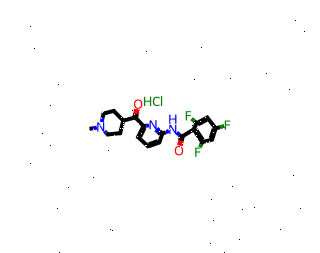 CN1CCC(C(=O)c2cccc(NC(=O)c3c(F)cc(F)cc3F)n2)CC1.Cl